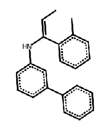 C/C=C(/Nc1cccc(-c2ccccc2)c1)c1ccccc1C